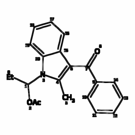 CCC(OC(C)=O)n1c(C)c(C(=O)c2ccccc2)c2ccccc21